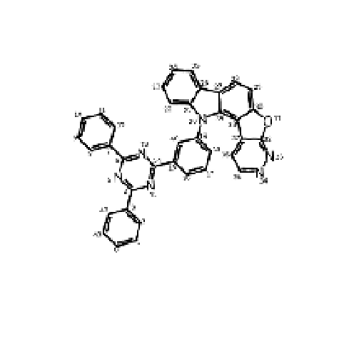 c1ccc(-c2nc(-c3ccccc3)nc(-c3cccc(-n4c5ccccc5c5ccc6oc7nnccc7c6c54)c3)n2)cc1